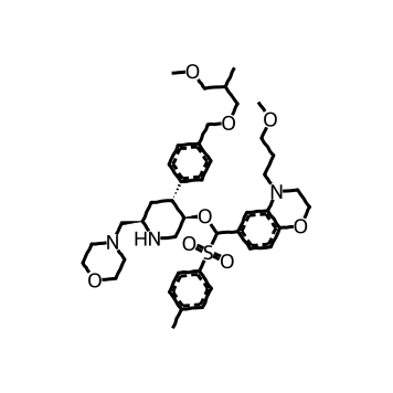 COCCCN1CCOc2ccc(C(O[C@H]3CN[C@@H](CN4CCOCC4)C[C@@H]3c3ccc(COCC(C)COC)cc3)S(=O)(=O)c3ccc(C)cc3)cc21